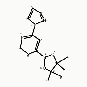 CC1(C)OB(C2=CC(n3cccn3)=NCC2)OC1(C)C